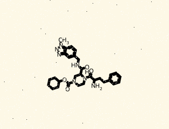 Cn1nnc2cc(CNC(O)C3CN(C(=O)OC4CCCCC4)CCN3C(=O)C(N)CCc3ccccc3)ccc21